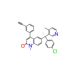 C#Cc1cccc(-c2cc(=O)n(C)c3ccc([C@](C)(c4ccc(Cl)cc4)c4cnccc4C)cc23)c1